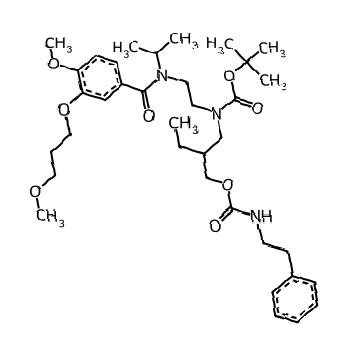 CCC(COC(=O)NCCc1ccccc1)CN(CCN(C(=O)c1ccc(OC)c(OCCCOC)c1)C(C)C)C(=O)OC(C)(C)C